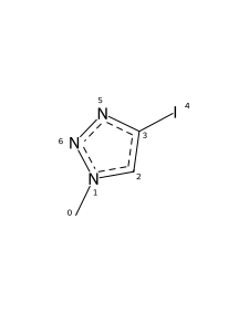 Cn1cc(I)nn1